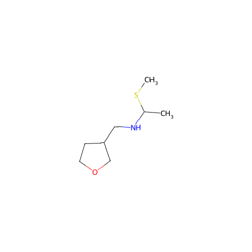 CSC(C)NCC1CCOC1